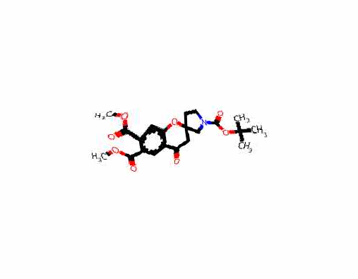 COC(=O)c1cc2c(cc1C(=O)OC)C(=O)CC1(CCN(C(=O)OC(C)(C)C)C1)O2